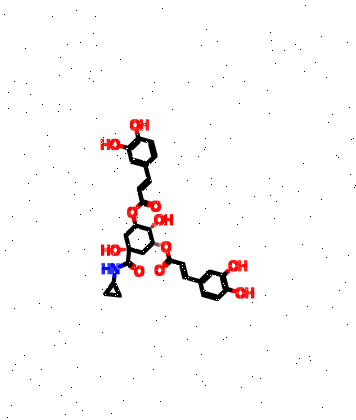 O=C(/C=C/c1ccc(O)c(O)c1)O[C@@H]1C[C@](O)(C(=O)NC2CC2)C[C@@H](OC(=O)/C=C/c2ccc(O)c(O)c2)[C@H]1O